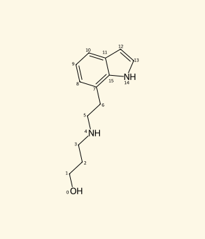 OCCCNCCc1cccc2cc[nH]c12